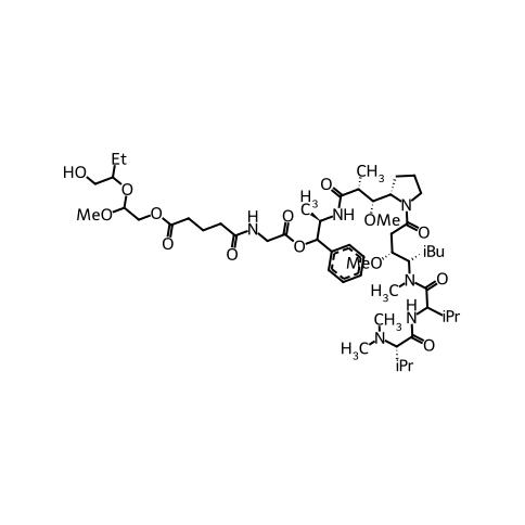 CCC(CO)OC(COC(=O)CCCC(=O)NCC(=O)OC(c1ccccc1)[C@@H](C)NC(=O)[C@H](C)[C@@H](OC)[C@@H]1CCCN1C(=O)C[C@@H](OC)C([C@@H](C)CC)N(C)C(=O)C(NC(=O)[C@H](C(C)C)N(C)C)C(C)C)OC